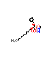 CCCCCCCCCCCC(=O)OC(CO)C(OCc1ccccc1)OP1(=O)NCCO1